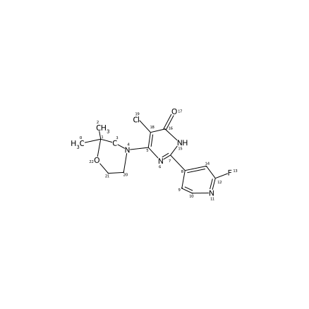 CC1(C)CN(c2nc(-c3ccnc(F)c3)[nH]c(=O)c2Cl)CCO1